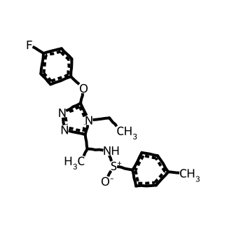 CCn1c(Oc2ccc(F)cc2)nnc1C(C)N[S+]([O-])c1ccc(C)cc1